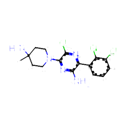 CC1(N)CCN(c2nc(N)c(-c3cccc(Cl)c3Cl)nc2Cl)CC1